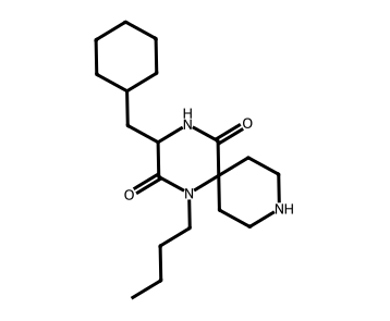 CCCCN1C(=O)C(CC2CCCCC2)NC(=O)C12CCNCC2